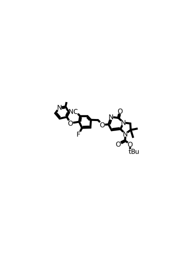 Cc1cc(Oc2c(F)cc(COc3cc4n(c(=O)n3)CC(C)(C)N4C(=O)OC(C)(C)C)cc2C#N)ccn1